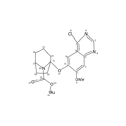 COc1cc2ncnc(Cl)c2cc1OC12CCCC(CC1)N2C(=O)OC(C)(C)C